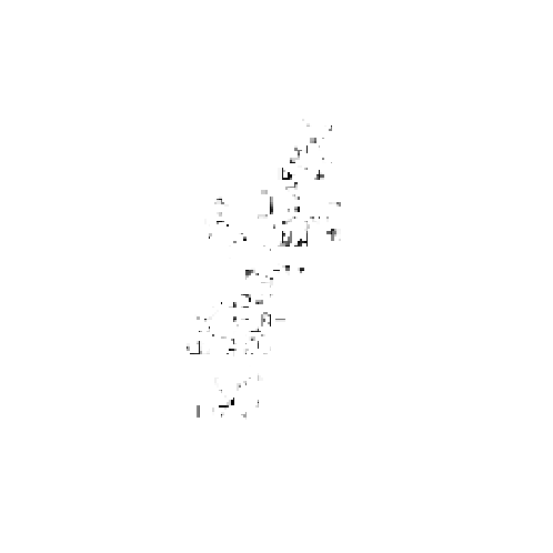 C[C@H](CCC(C)(C)[Si](C)(C)O)N(CC(=O)N[C@@H](CCCC(C)(C)[Si](C)(C)O)c1cccc(Cl)c1F)C(=O)Cn1nc(C(N)=O)c2cc(NC(=O)OC(C)(C)C)ccc21